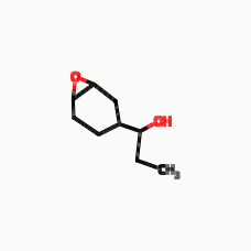 CCC(O)C1CCC2OC2C1